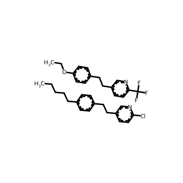 CCCCCc1ccc(CCc2ccc(Cl)nc2)cc1.CCOc1ccc(CCc2ccc(C(F)(F)F)nc2)cc1